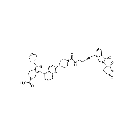 CC(=O)N1CCn2c(C3CCOCC3)nc(-c3cccc4nc(C5CCN(C(=O)NCCC#Cc6cccc7c6CN(C6CCC(=O)NC6=O)C7=O)CC5)ccc34)c2C1